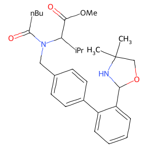 CCCCC(=O)N(Cc1ccc(-c2ccccc2C2NC(C)(C)CO2)cc1)C(C(=O)OC)C(C)C